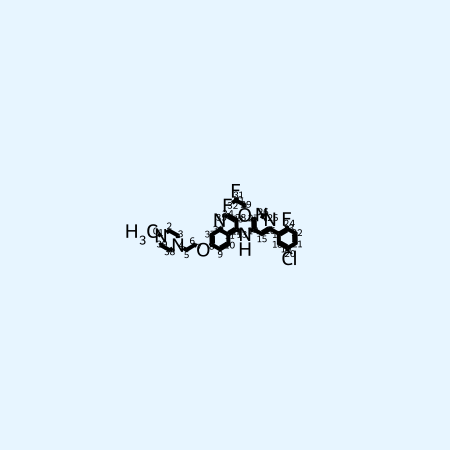 CN1CCN(CCOc2ccc3c(Nc4cc(-c5cc(Cl)ccc5F)nnc4OCC(F)F)ccnc3c2)CC1